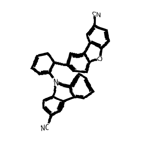 N#Cc1ccc2oc3ccc(C4CC=CC=C4n4c5ccccc5c5cc(C#N)ccc54)cc3c2c1